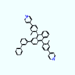 Cc1cc(-c2ccncc2)ccc1-c1c2ccccc2c(-c2ccc(-c3ccncc3)cc2C)c2cc(-c3cccc(-c4ccccc4)c3)ccc12